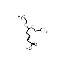 CCOC(CC=CC(=O)O)OCC